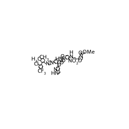 COCC(=O)N1CCOC(CCCNc2ccc(S(=O)(=O)NC(=O)c3ccc(N4CCN(CC5=C(c6ccc(C(F)(F)F)cc6Cl)CC(C)(C)CC5)CC4)cc3Oc3cnc4[nH]ccc4c3)cc2[N+](=O)[O-])C1